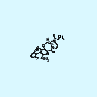 C=CC(=O)N1CCN2C(=O)c3cc(C)c(-c4c(O)cccc4F)c(Cl)c3OC[C@H]2C1